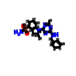 Cc1nc(NCc2ccccc2)nc(N2c3cccc(S(N)(=O)=O)c3CC2C)n1